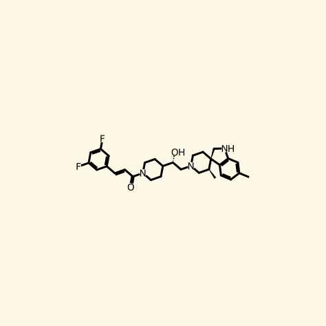 Cc1ccc2c(c1)NC[C@@]21CCN(C[C@@H](O)C2CCN(C(=O)/C=C/c3cc(F)cc(F)c3)CC2)C[C@@H]1C